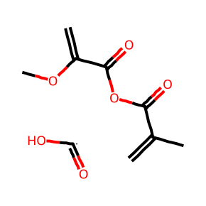 C=C(C)C(=O)OC(=O)C(=C)OC.O=[C]O